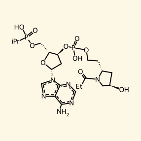 CCC(=O)N1C[C@H](O)C[C@H]1CCOP(=O)(O)O[C@H]1C[C@H](n2cnc3c(N)ncnc32)O[C@@H]1COP(=O)(O)C(C)C